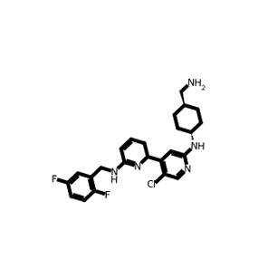 NC[C@H]1CC[C@H](Nc2cc(C3CC=CC(NCc4cc(F)ccc4F)=N3)c(Cl)cn2)CC1